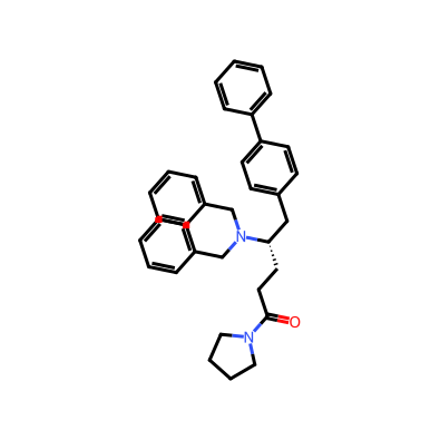 O=C(CC[C@@H](Cc1ccc(-c2ccccc2)cc1)N(Cc1ccccc1)Cc1ccccc1)N1CCCC1